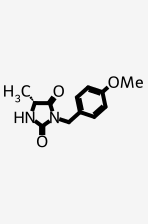 COc1ccc(CN2C(=O)N[C@H](C)C2=O)cc1